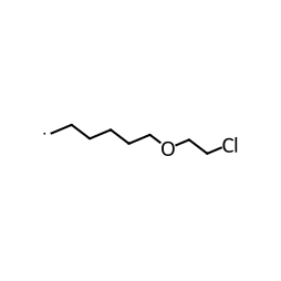 [CH2]CCCCCOCCCl